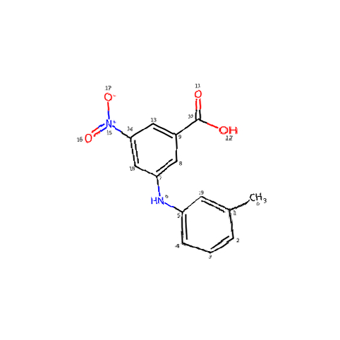 Cc1cccc(Nc2cc(C(=O)O)cc([N+](=O)[O-])c2)c1